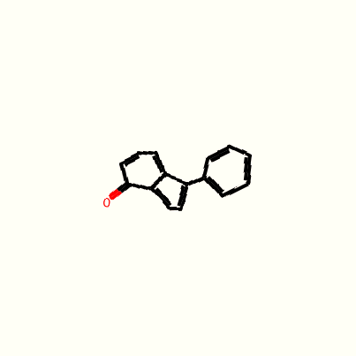 O=C1C=CC=C2C1=CC=C2c1ccccc1